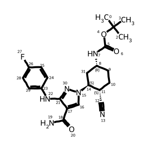 CC(C)(C)OC(=O)N[C@@H]1CC[C@H](C#N)[C@@H](n2cc(C(N)=O)c(Nc3ccc(F)cc3)n2)C1